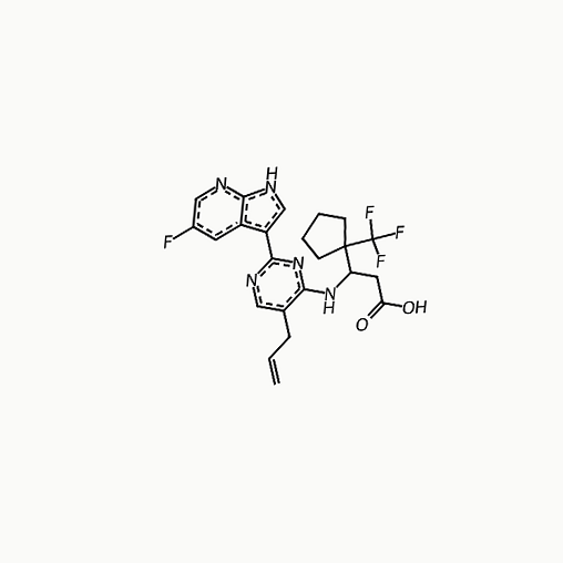 C=CCc1cnc(-c2c[nH]c3ncc(F)cc23)nc1NC(CC(=O)O)C1(C(F)(F)F)CCCC1